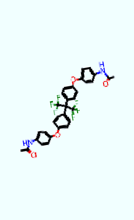 CC(=O)Nc1ccc(Oc2ccc(C(c3ccc(Oc4ccc(NC(C)=O)cc4)cc3)(C(F)(F)F)C(F)(F)F)cc2)cc1